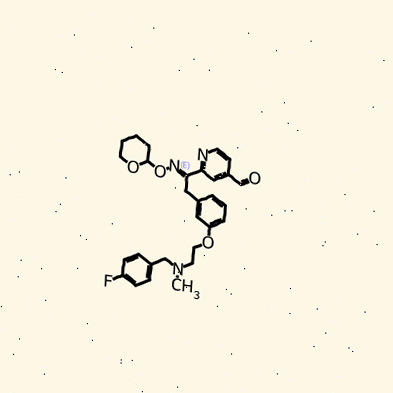 CN(CCOc1cccc(C/C(=N\OC2CCCCO2)c2cc(C=O)ccn2)c1)Cc1ccc(F)cc1